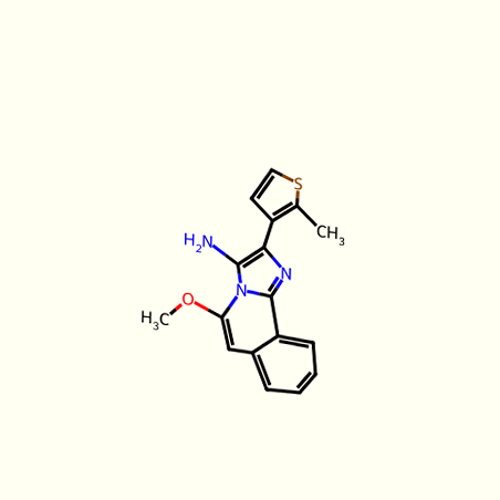 COc1cc2ccccc2c2nc(-c3ccsc3C)c(N)n12